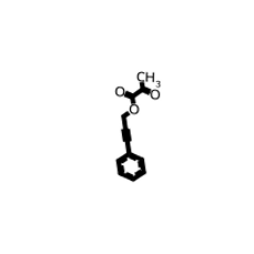 CC(=O)C(=O)OCC#Cc1ccccc1